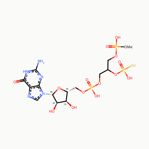 COP(=O)(O)OCC(COP(=O)(O)OC[C@H]1O[C@@H](n2cnc3c(=O)[nH]c(N)nc32)[C@H](O)[C@@H]1O)OP(=O)(O)S